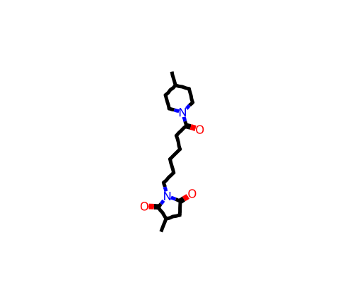 CC1CCN(C(=O)CCCCCN2C(=O)CC(C)C2=O)CC1